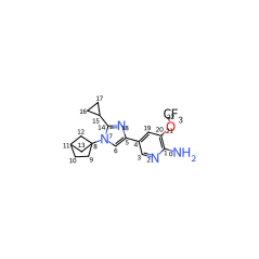 Nc1ncc(-c2cn(C34CCC(C3)C4)c(C3CC3)n2)cc1OC(F)(F)F